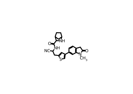 CN1C(=O)Cc2ccc(-c3csc(CC(C#N)NC(=O)C4NC5CCC4C5)c3)cc21